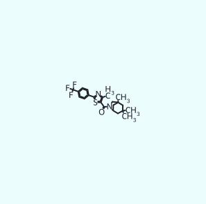 Cc1nc(-c2ccc(C(F)(F)F)cc2)sc1C(=O)N1CC2(C)CC1CC(C)(C)C2